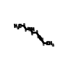 CCC#CCCNCCC